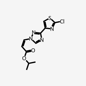 CC(C)OC(=O)/C=C\n1cnc(-c2csc(Cl)n2)n1